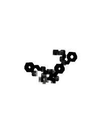 COC(=O)[C@@H]1CCCC[C@H]1COc1ccc(-c2onc(C)c2NC(=O)OCCc2ccccc2Cl)cc1